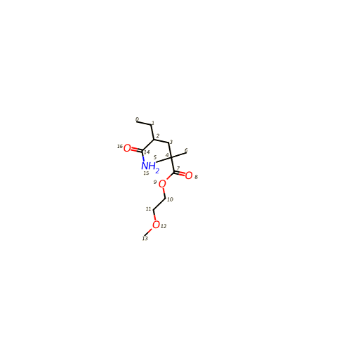 CCC(CC(C)(C)C(=O)OCCOC)C(N)=O